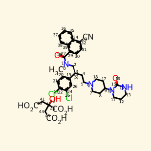 CN(C[C@@H](CCN1CCC(N2CCCNC2=O)CC1)c1ccc(Cl)c(Cl)c1)C(=O)c1ccc(C#N)c2ccccc12.O=C(O)CC(O)(CC(=O)O)C(=O)O